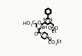 CCOC(=O)ON1CCN(C(=O)[C@H](CCC(=O)O)NC(=O)c2cc(CS(=O)(=O)CC)nc(-c3ccccc3)n2)CC1